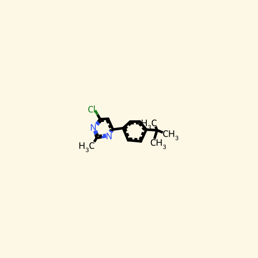 Cc1nc(Cl)cc(-c2ccc(C(C)(C)C)cc2)n1